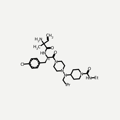 C=CC(C)(N)C(=O)N[C@H](Cc1ccc(Cl)cc1)C(=O)N1CCN(N(CC(C)C)C2CCN(C(=O)NCC)CC2)CC1